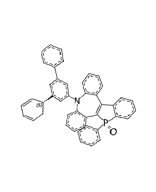 O=P1(c2ccccc2)C2=C(c3ccccc3N(c3cc(-c4ccccc4)cc([C@@H]4C=CC=CC4)c3)c3ccccc32)c2ccccc21